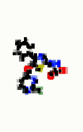 O=C(O)Nc1nc(-c2ccccc2)c(Oc2ccnc(Cl)n2)s1